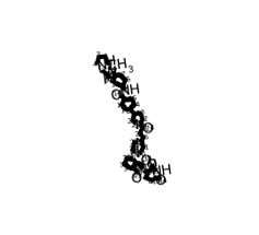 C[C@H]1CCCN1Cc1nc2cc(NC(=O)c3ccc(C4CCN(C(=O)CCN5CCN(c6cccc7c6C(=O)N(C6CCC(=O)NC6=O)C7=O)CC5)CC4)cc3)ccc2[nH]1